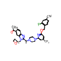 COC(=O)c1ccc2nc([C@H](C)N3CCN(c4cc(C(F)(F)F)cc(OCc5ccc(C#N)cc5F)n4)CC3)n(C[C@@H]3CCO3)c2c1